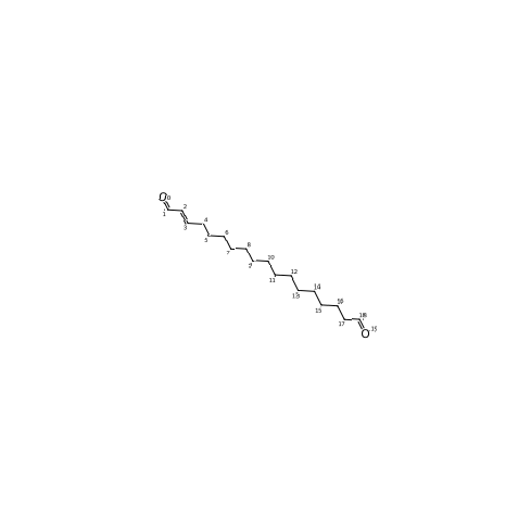 O=[C]/C=C/CCCCCCCCCCCCCC[C]=O